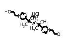 CC(C)(N=NC(C)(C)C1CN(CCO)C=N1)C1CN(CCO)C=N1.Cl.Cl